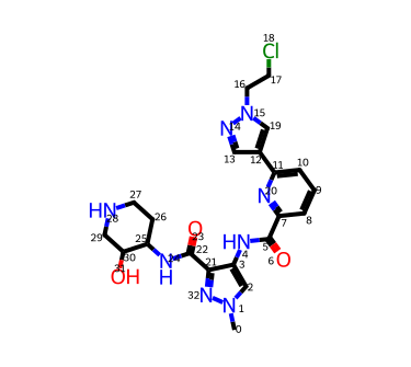 Cn1cc(NC(=O)c2cccc(-c3cnn(CCCl)c3)n2)c(C(=O)NC2CCNCC2O)n1